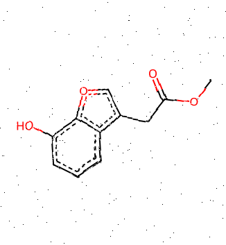 COC(=O)Cc1coc2c(O)cccc12